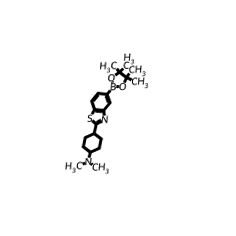 CN(C)C1CCC(c2nc3cc(B4OC(C)(C)C(C)(C)O4)ccc3s2)CC1